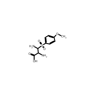 COc1ccc(S(=O)(=O)C(N)C(N)C(=O)O)cc1